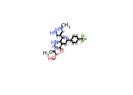 CN/C=C(\C=N)c1nc(-c2ccc(C(F)(F)F)cc2)cc2c1NCN(C(C)CO)C2=O